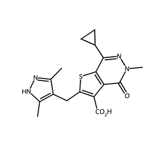 Cc1n[nH]c(C)c1Cc1sc2c(C3CC3)nn(C)c(=O)c2c1C(=O)O